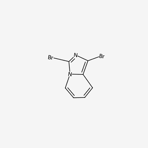 Brc1nc(Br)n2ccccc12